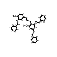 Oc1ccc(/C=C/Cc2c(O)cc(OCc3ccccc3)cc2OCc2ccccc2)cc1OCc1ccccc1